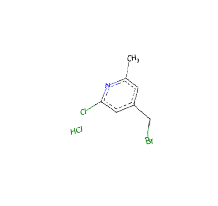 Cc1cc(CBr)cc(Cl)n1.Cl